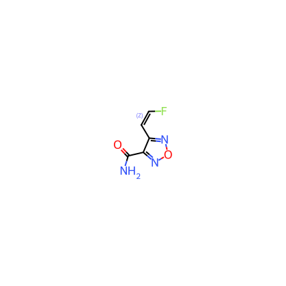 NC(=O)c1nonc1/C=C\F